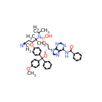 COc1ccc(C(OC[C@H](COP(O)N(C(C)C)C(C)(C)CCC#N)n2cnc3c(NC(=O)c4ccccc4)ncnc32)(c2ccccc2)c2ccc(OC)cc2)cc1